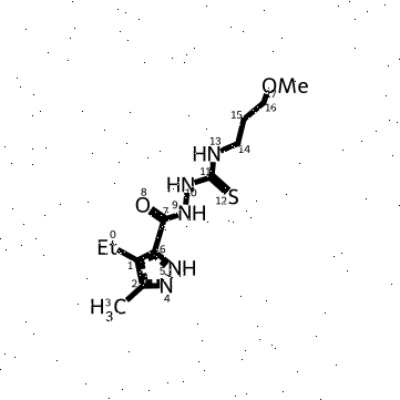 CCc1c(C)n[nH]c1C(=O)NNC(=S)NCCCOC